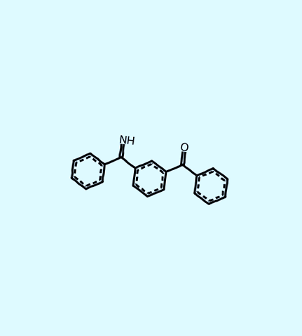 N=C(c1ccccc1)c1cccc(C(=O)c2ccccc2)c1